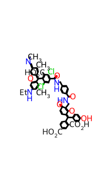 CCNc1cc2c(cc1C)C(c1c(Cl)cc(C(=O)NCc3ccc(C(=O)NCc4c5oc6cc(O)ccc6c(-c6ccc(C(=O)O)cc6C(=O)O)c-5ccc4=O)cc3)c(Cl)c1C(=O)O)=c1cc(C)c(=C=NC)cc1O2